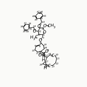 COC1OC(CO[C@@H]2/C=C/CC[C@](O)(C(=O)NC3CCCCCCC[C@H]4CC34)CC2)C(C)C(OCc2ccccc2)C1OCc1ccccc1